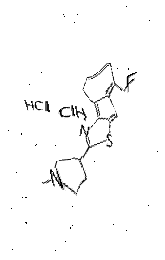 CN1CCC(c2nc3c(s2)=CC2=C(F)C=CCC=32)C1.Cl.Cl